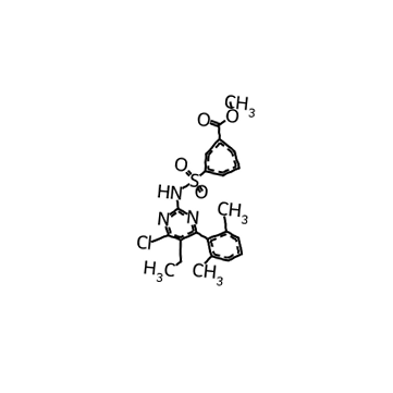 CCc1c(Cl)nc(NS(=O)(=O)c2cccc(C(=O)OC)c2)nc1-c1c(C)cccc1C